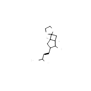 CCCCCCCC(O)C=CC1C[C@H]2[C@@H](CC23OCCO3)C1O